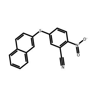 N#Cc1cc(Sc2ccc3ccccc3c2)ccc1[N+](=O)[O-]